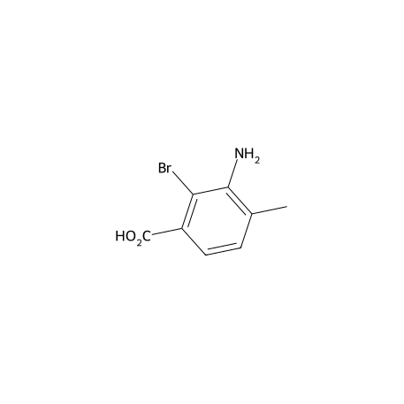 Cc1ccc(C(=O)O)c(Br)c1N